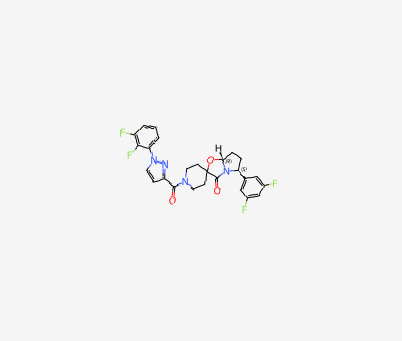 O=C(c1ccn(-c2cccc(F)c2F)n1)N1CCC2(CC1)O[C@@H]1CC[C@@H](c3cc(F)cc(F)c3)N1C2=O